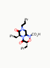 CC(C)CCN1CC2N(C(=O)O)O[C@H](CC(C)C)C(=O)N2[C@@H](CC(C)C)C1=O